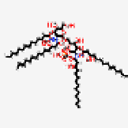 CCCCCCCCCCCC(O)CC(=O)N[C@@H]1C(OP(=O)(O)O)OC(CO[C@@H]2OC(CO)C(O)C(OC(=O)CC(O)CCCCCCCCCCC)[C@@H]2NC(=O)CC(O)CCCCCCCCCCC)[C@@H](O)C1OC(=O)CC(O)CCCCCCCCCCC